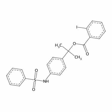 CC(C)(OC(=O)c1ccccc1I)c1ccc(NS(=O)(=O)c2ccccc2)cc1